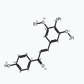 CCCc1c(OCC)cc(/C=C/C(=O)c2ccc(O)cc2)cc1OCC